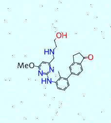 COc1cc(CNCCO)nc(Nc2cccc(-c3ccc4c(c3)CCC4=O)c2C)n1